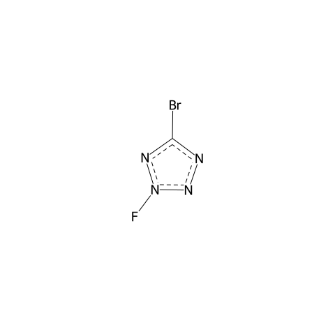 Fn1nnc(Br)n1